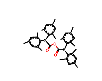 Cc1cc(C)c(B(C(=O)OC(=O)B(c2c(C)cc(C)cc2C)c2c(C)cc(C)cc2C)c2c(C)cc(C)cc2C)c(C)c1